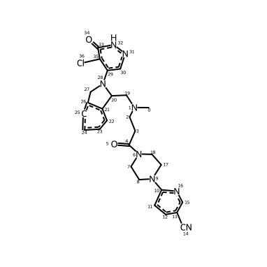 CN(CCC(=O)N1CCN(c2ccc(C#N)cn2)CC1)CC1c2ccccc2CN1c1cn[nH]c(=O)c1Cl